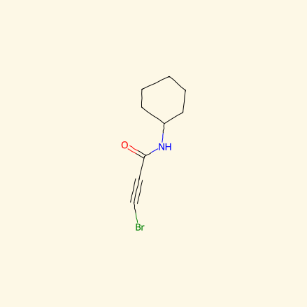 O=C(C#CBr)NC1CCCCC1